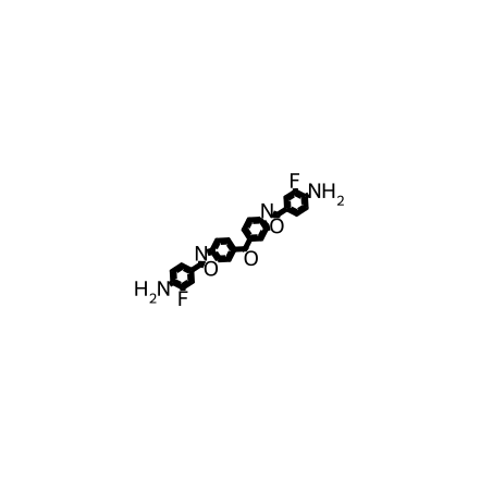 Nc1ccc(-c2nc3ccc(C(=O)c4ccc5nc(-c6ccc(N)c(F)c6)oc5c4)cc3o2)cc1F